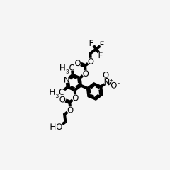 Cc1nc(C)c(OC(=O)OCC(F)(F)F)c(-c2cccc([N+](=O)[O-])c2)c1OC(=O)OCCO